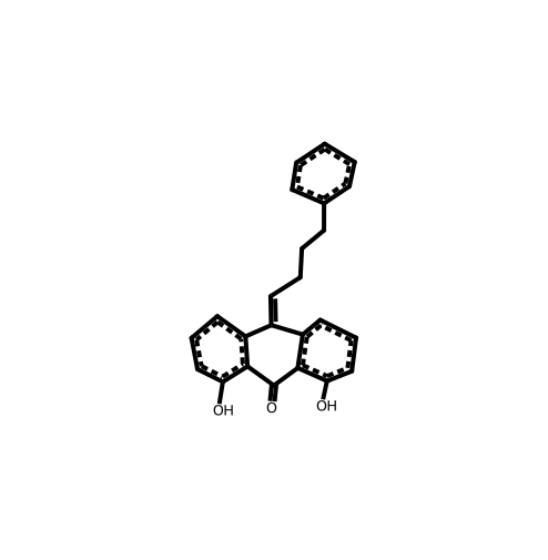 O=C1c2c(O)cccc2C(=CCCCc2ccccc2)c2cccc(O)c21